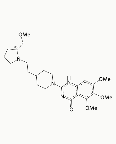 COC[C@H]1CCCN1CCC1CCN(c2nc(=O)c3c(OC)c(OC)c(OC)cc3[nH]2)CC1